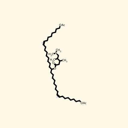 CC(=O)OCCCCCCC/C=C\CCCCCCCCC(CCCCCCCC/C=C\CCCCCCCOC(C)=O)OC(=O)CC(C)C(C)CN(C)C